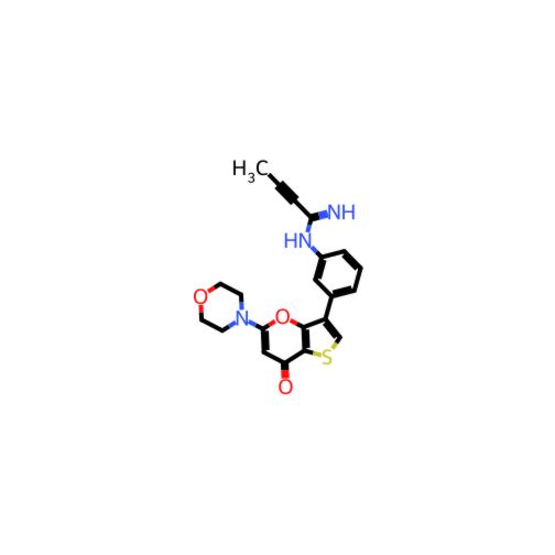 CC#CC(=N)Nc1cccc(-c2csc3c(=O)cc(N4CCOCC4)oc23)c1